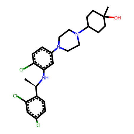 C[C@@H](Nc1cc(N2CCN(C3CCC(C)(O)CC3)CC2)ccc1Cl)c1ccc(Cl)cc1Cl